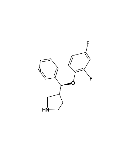 Fc1ccc(O[C@H](c2cccnc2)C2CCNC2)c(F)c1